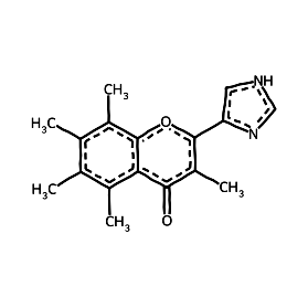 Cc1c(C)c(C)c2c(=O)c(C)c(-c3c[nH]cn3)oc2c1C